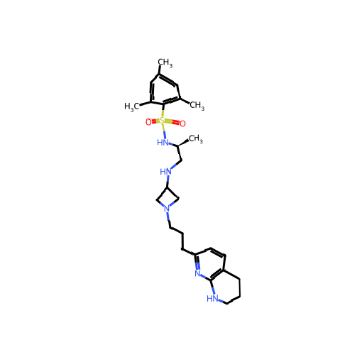 Cc1cc(C)c(S(=O)(=O)N[C@@H](C)CNC2CN(CCCc3ccc4c(n3)NCCC4)C2)c(C)c1